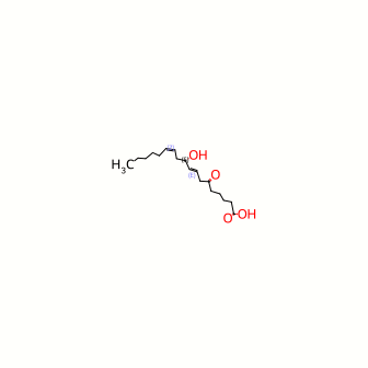 CCCCC/C=C\C[C@H](O)/C=C/CC(=O)CCCCC(=O)O